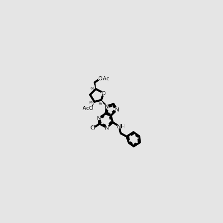 CC(=O)OC[C@@H]1C[C@@H](OC(C)=O)[C@H](n2cnc3c(NCc4ccccc4)nc(Cl)nc32)O1